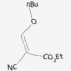 CCCCOC=C(C#N)C(=O)OCC